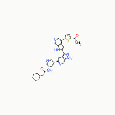 CC(=O)c1ccc(-c2cncc3[nH]c(-c4n[nH]c5cnc(-c6cncc(NC(=O)CC7CCCCC7)c6)cc45)cc23)s1